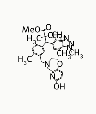 COC(=O)C(C)(C)C(c1ccc(C)c(CN2Cc3nc(O)ccc3O[C@H](C)C2)c1)c1ccc2c(nnn2C)c1C